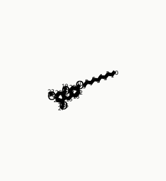 CCCCCCCCCCOc1ccc(Cc2c(OC)cc(OC)cc2OC)cc1